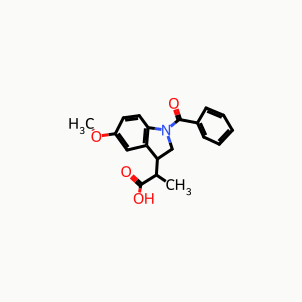 COc1ccc2c(c1)C(C(C)C(=O)O)CN2C(=O)c1ccccc1